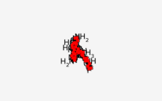 CN(CC(=O)O[C@H]1[C@@H](O)[C@H](n2cnc3c(N)ncnc32)O[C@@H]1COP(=O)(O)O[C@H]1[C@@H](O)[C@H](n2ccc(N)nc2=O)O[C@@H]1COP(=O)(O)O)C(=O)OCc1ccc(NC(=O)Cc2ccc(F)cc2)cc1